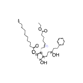 C=CCCCCCCCCC(=O)O[C@H]1C[C@@H](O)[C@H](CC[C@@H](O)CCc2ccccc2)[C@H]1C/C=C\CCCC(=O)OCC